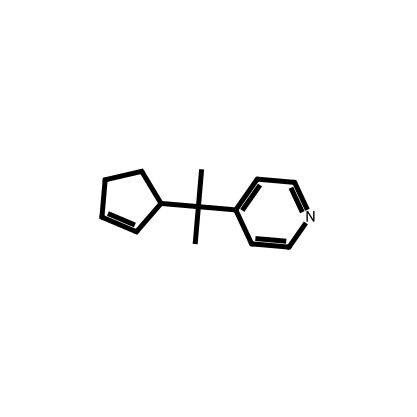 CC(C)(c1ccncc1)C1C=CCC1